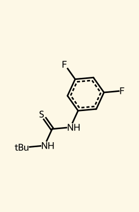 CC(C)(C)NC(=S)Nc1cc(F)cc(F)c1